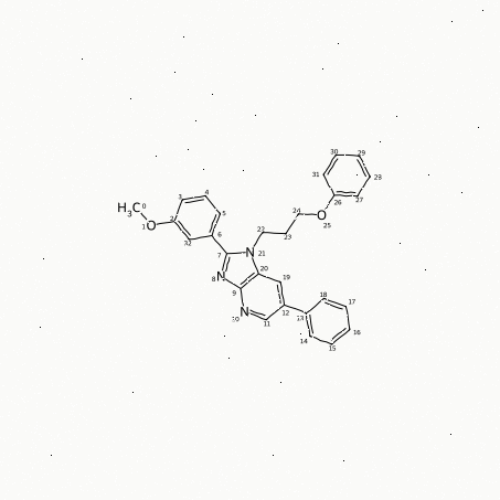 COc1cccc(-c2nc3ncc(-c4ccccc4)cc3n2CCCOc2ccccc2)c1